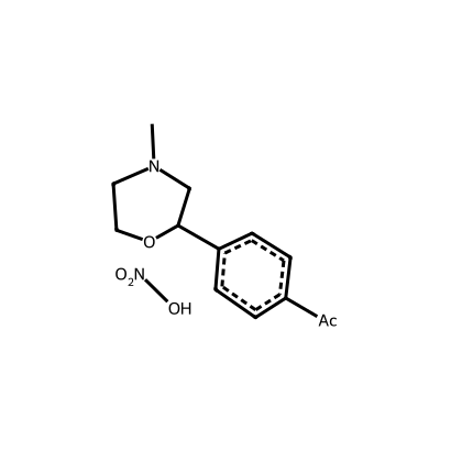 CC(=O)c1ccc(C2CN(C)CCO2)cc1.O=[N+]([O-])O